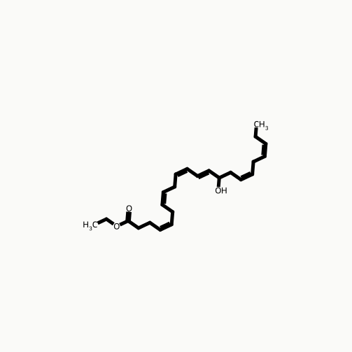 CC/C=C\C/C=C\CC(O)/C=C/C=C\C/C=C\C/C=C\CCC(=O)OCC